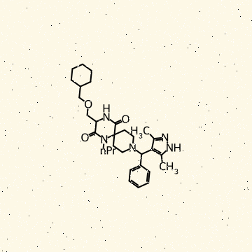 CCCN1C(=O)C(COCC2CCCCC2)NC(=O)C12CCN(C(c1ccccc1)c1c(C)n[nH]c1C)CC2